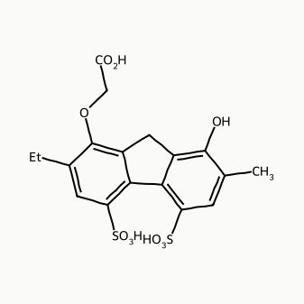 CCc1cc(S(=O)(=O)O)c2c(c1OCC(=O)O)Cc1c(O)c(C)cc(S(=O)(=O)O)c1-2